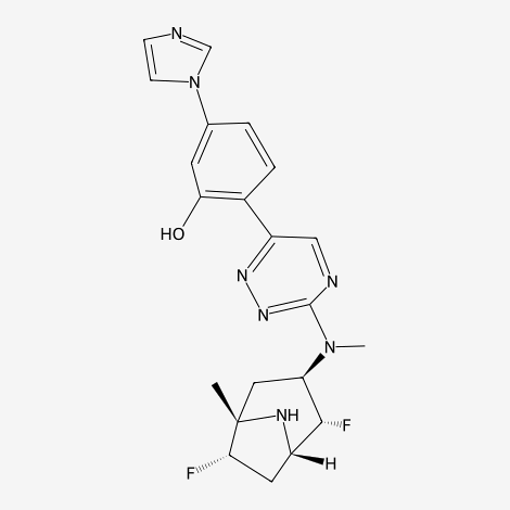 CN(c1ncc(-c2ccc(-n3ccnc3)cc2O)nn1)[C@@H]1C[C@]2(C)N[C@@H](C[C@@H]2F)[C@H]1F